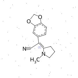 CN1CCC/C1=C(/C#N)c1ccc2c(c1)OCO2